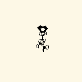 CC(=O)n1nc(-c2nc3ccccc3o2)oc1=O